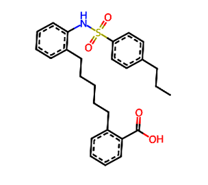 CCCc1ccc(S(=O)(=O)Nc2ccccc2CCCCCc2ccccc2C(=O)O)cc1